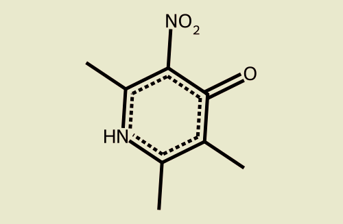 Cc1[nH]c(C)c([N+](=O)[O-])c(=O)c1C